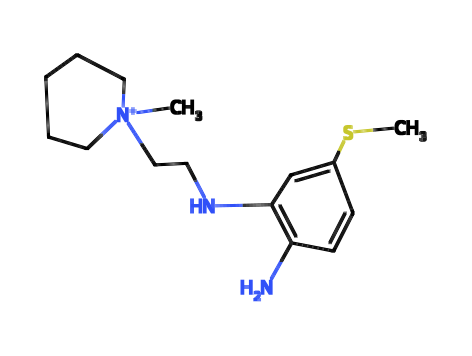 CSc1ccc(N)c(NCC[N+]2(C)CCCCC2)c1